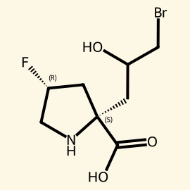 O=C(O)[C@]1(CC(O)CBr)C[C@@H](F)CN1